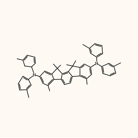 CC1=CC=CC(N(c2cccc(C)c2)c2cc(C)c3c(c2)C(C)(C)c2c-3ccc3c2C(C)(C)c2cc(N(c4cccc(C)c4)c4cccc(C)c4)cc(C)c2-3)C1